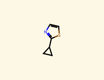 [c]1cnc(C2CC2)s1